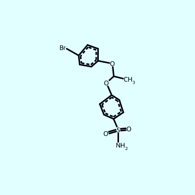 CC(Oc1ccc(Br)cc1)Oc1ccc(S(N)(=O)=O)cc1